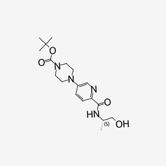 C[C@@H](CO)NC(=O)c1ccc(N2CCN(C(=O)OC(C)(C)C)CC2)cn1